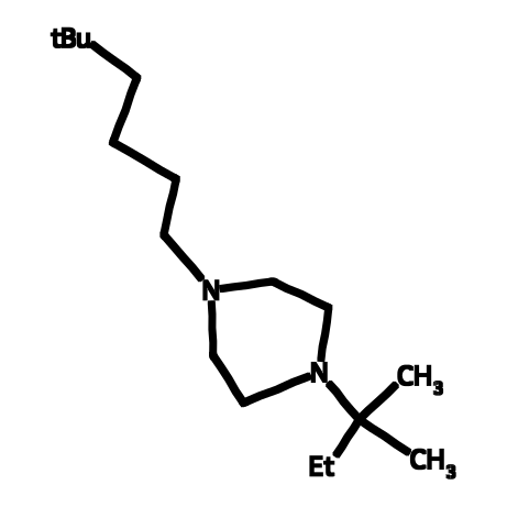 CCC(C)(C)N1CCN(CCCCC(C)(C)C)CC1